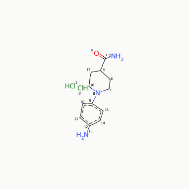 Cl.Cl.NC(=O)C1CCN(c2ccc(N)cc2)CC1